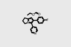 CCOC=O.Fc1ccc(-c2cc3n(c2-c2ccncc2)CCC3)cc1